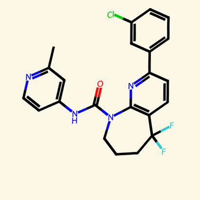 Cc1cc(NC(=O)N2CCCC(F)(F)c3ccc(-c4cccc(Cl)c4)nc32)ccn1